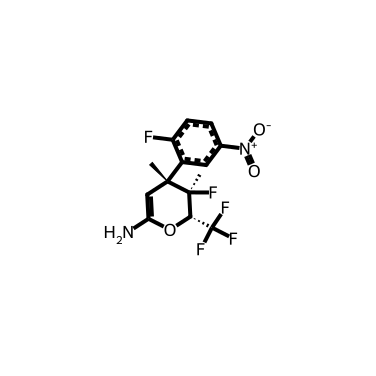 C[C@]1(F)[C@H](C(F)(F)F)OC(N)=C[C@]1(C)c1cc([N+](=O)[O-])ccc1F